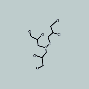 ClCC(Cl)COP(CC(Cl)CCl)CC(Cl)CCl